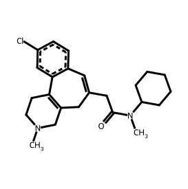 CN1CCC2=C(CC(CC(=O)N(C)C3CCCCC3)=Cc3ccc(Cl)cc32)C1